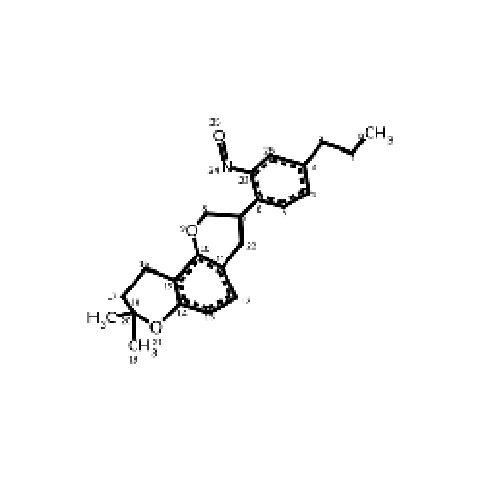 CCCc1ccc(C2COc3c(ccc4c3CCC(C)(C)O4)C2)c(N=O)c1